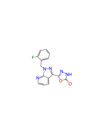 O=c1[nH]nc(-c2nn(Cc3ccccc3F)c3ncccc23)o1